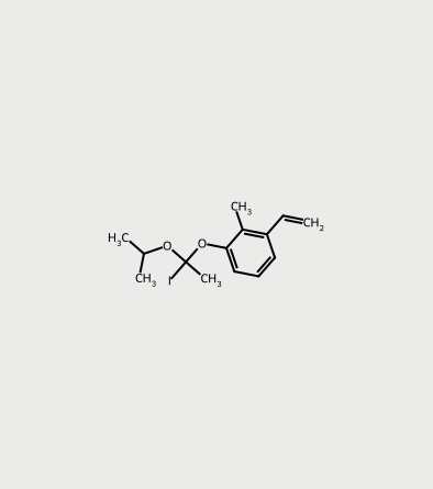 C=Cc1cccc(OC(C)(I)OC(C)C)c1C